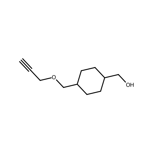 C#CCOCC1CCC(CO)CC1